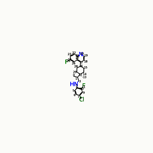 CC(CNc1ccc(Cl)cc1F)[C@]1(C)CC[C@H](c2ccnc3ccc(F)cc32)CC1